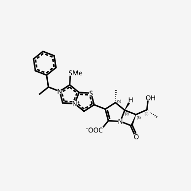 CSc1c2sc(C3=C(C(=O)[O-])N4C(=O)[C@H]([C@@H](C)O)[C@H]4[C@H]3C)c[n+]2cn1C(C)c1ccccc1